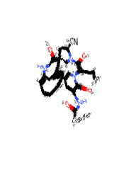 COC(=O)Nc1cccn(C(CC(C)C)C(=O)N2C[C@]3(C[C@H]2C#N)C(=O)Nc2ccccc23)c1=O